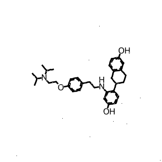 CC(C)N(CCOc1ccc(CCNc2cc(O)ccc2C2CCc3cc(O)ccc3C2)cc1)C(C)C